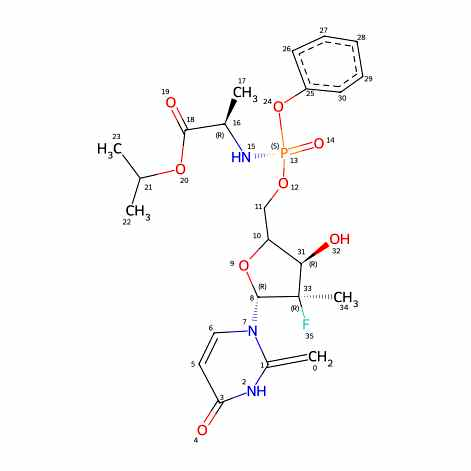 C=C1NC(=O)C=CN1[C@@H]1OC(CO[P@@](=O)(N[C@H](C)C(=O)OC(C)C)Oc2ccccc2)[C@@H](O)[C@@]1(C)F